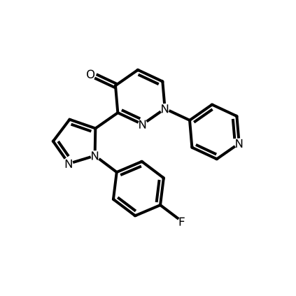 O=c1ccn(-c2ccncc2)nc1-c1ccnn1-c1ccc(F)cc1